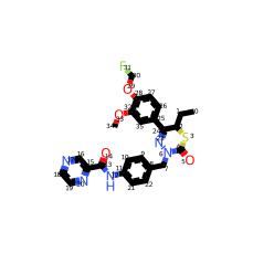 CCC1SC(=O)N(Cc2ccc(NC(=O)c3cnccn3)cc2)N=C1c1ccc(OCF)c(OC)c1